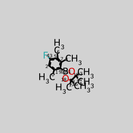 Cc1cc(F)c(C)c(C)c1B1OC(C)(C)C(C)(C)O1